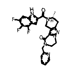 C[C@@H]1Cc2nn3c(c2CN1C(=O)c1cc2c(F)c(F)c(F)cc2[nH]1)C(=O)N(Cc1ccccn1)CC3